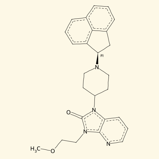 COCCn1c(=O)n(C2CCN([C@@H]3Cc4cccc5cccc3c45)CC2)c2cccnc21